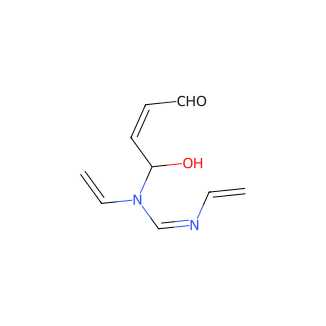 C=C/N=C\N(C=C)C(O)/C=C\C=O